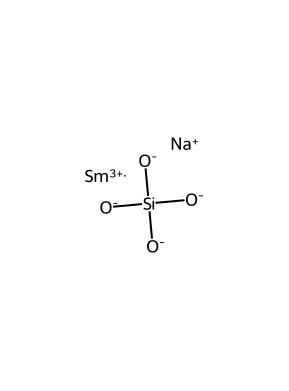 [Na+].[O-][Si]([O-])([O-])[O-].[Sm+3]